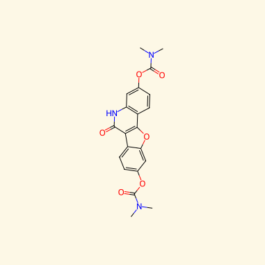 CN(C)C(=O)Oc1ccc2c(c1)[nH]c(=O)c1c3ccc(OC(=O)N(C)C)cc3oc21